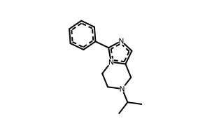 CC(C)N1CCn2c(cnc2-c2ccccc2)C1